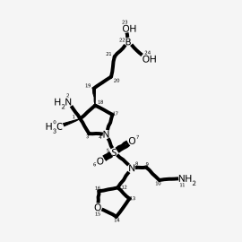 C[C@]1(N)CN(S(=O)(=O)N(CCN)C2CCOC2)C[C@@H]1CCCB(O)O